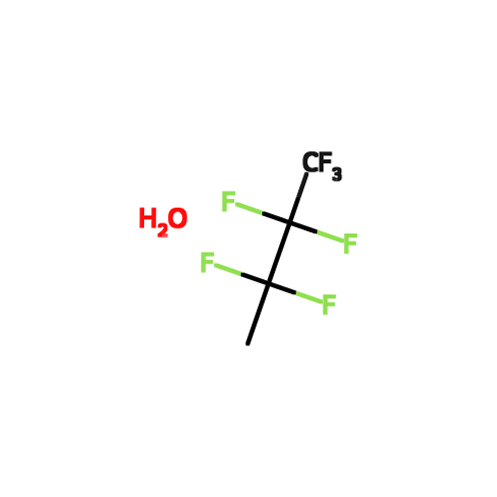 CC(F)(F)C(F)(F)C(F)(F)F.O